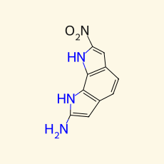 Nc1cc2ccc3cc([N+](=O)[O-])[nH]c3c2[nH]1